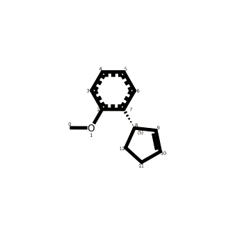 COc1ccccc1[C@@H]1C=CCC1